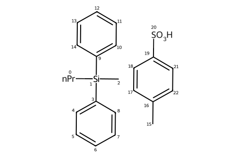 CCC[Si](C)(c1ccccc1)c1ccccc1.Cc1ccc(S(=O)(=O)O)cc1